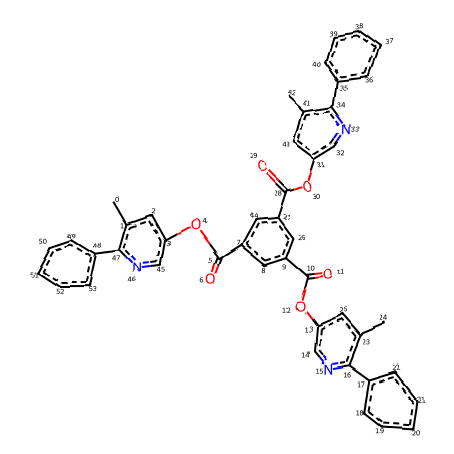 Cc1cc(OC(=O)c2cc(C(=O)Oc3cnc(-c4ccccc4)c(C)c3)cc(C(=O)Oc3cnc(-c4ccccc4)c(C)c3)c2)cnc1-c1ccccc1